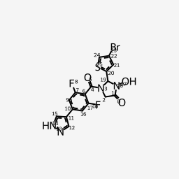 O=C1CN(C(=O)c2c(F)cc(-c3cn[nH]c3)cc2F)C(c2cc(Br)cs2)N1O